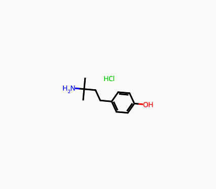 CC(C)(N)CCc1ccc(O)cc1.Cl